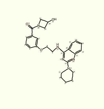 O=C(c1cccc(OCCNc2nc(N3CCCCC3)nc3ccccc23)c1)N1CC(O)C1